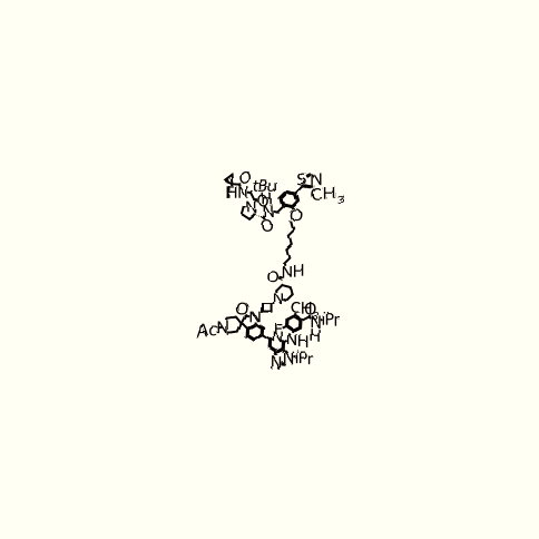 CC(=O)N1CCC2(CC1)C(=O)N([C@H]1C[C@@H](N3CCC[C@@H](C(=O)NCCCCCCCOc4cc(-c5scnc5C)ccc4CNC(=O)[C@@H]4CCCN4C(=O)[C@@H](NC(=O)C4(F)CC4)C(C)(C)C)C3)C1)c1cc(-c3cc4ncn(C(C)C)c4c(Nc4cc(C(=O)NC(C)C)c(C)cc4F)n3)ccc12